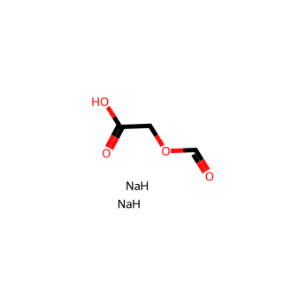 O=COCC(=O)O.[NaH].[NaH]